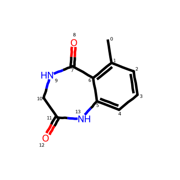 Cc1cccc2c1C(=O)NCC(=O)N2